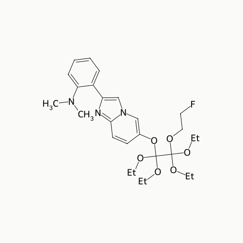 CCOC(OCC)(OCCF)C(OCC)(OCC)Oc1ccc2nc(-c3ccccc3N(C)C)cn2c1